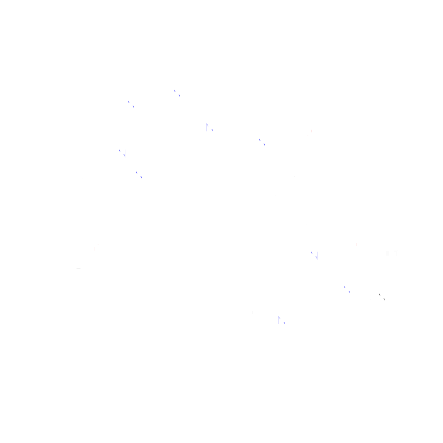 CCOc1cccc(Cn2ncc3c(N4CCN(C(=O)c5ccc(N(CCN(C)C)C(=NC#N)OC(C)C)cc5)CC4)ncnc32)c1